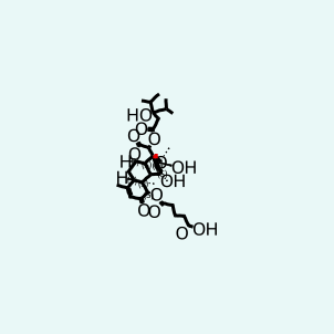 CC1=CC(=O)[C@@H](OC(=O)CCCC(=O)O)[C@]2(C)C3[C@]45CO[C@]3(O)[C@H](O)[C@H](C)C4C(OC(=O)CC(O)(C(C)C)C(C)C)C(=O)O[C@@H]5C[C@@H]12